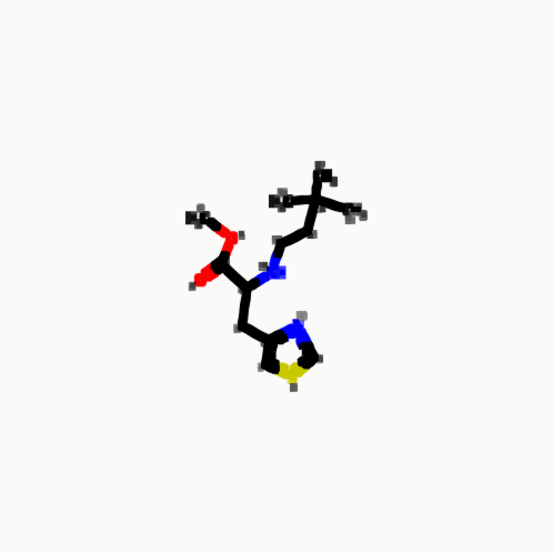 COC(=O)C(Cc1cscn1)NCCC(C)(C)C